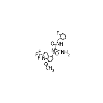 COc1ccc(-c2nc(C(=O)NCc3ccccc3F)c(CN)o2)c2ccc(C(F)(F)F)nc12